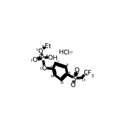 CCOP(=O)(O)Oc1ccc(S(=O)(=O)CC(F)(F)F)cc1.Cl